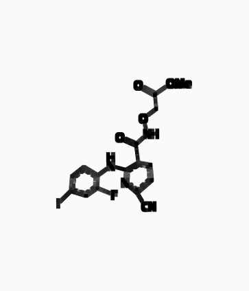 COC(=O)CONC(=O)c1ccc(C#N)nc1Nc1ccc(I)cc1F